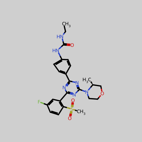 CCNC(=O)Nc1ccc(-c2nc(-c3cc(F)ccc3S(C)(=O)=O)nc(N3CCOC[C@@H]3C)n2)cc1